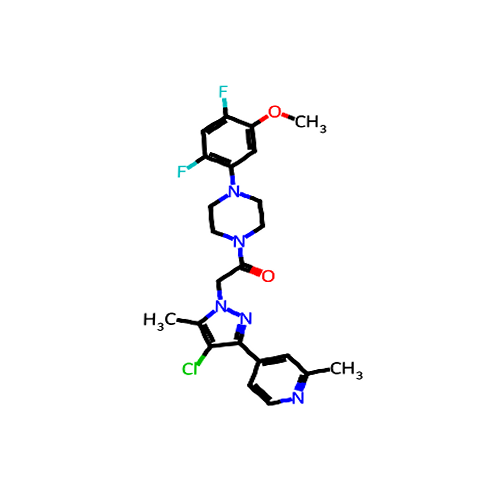 COc1cc(N2CCN(C(=O)Cn3nc(-c4ccnc(C)c4)c(Cl)c3C)CC2)c(F)cc1F